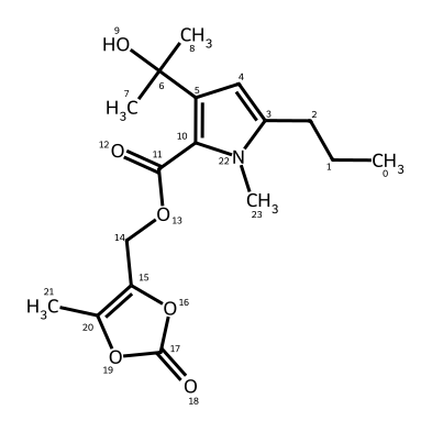 CCCc1cc(C(C)(C)O)c(C(=O)OCc2oc(=O)oc2C)n1C